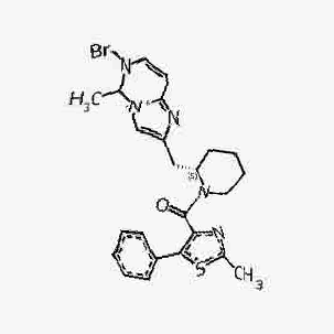 Cc1nc(C(=O)N2CCCC[C@H]2CC2=C[N+]3C(=N2)C=CN(Br)C3C)c(-c2ccccc2)s1